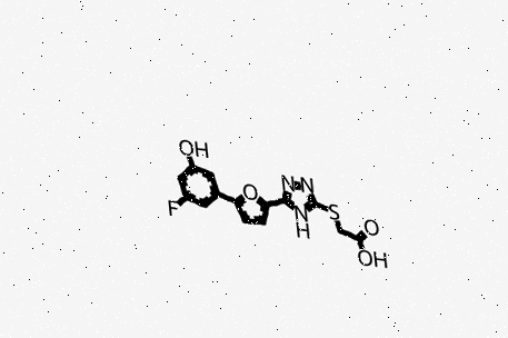 O=C(O)CSc1nnc(-c2ccc(-c3cc(O)cc(F)c3)o2)[nH]1